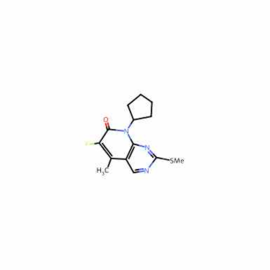 CSc1ncc2c(C)c(F)c(=O)n(C3CCCC3)c2n1